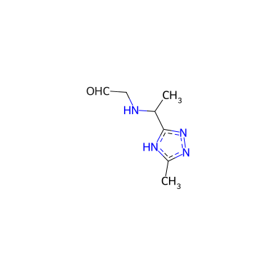 Cc1nnc(C(C)NCC=O)[nH]1